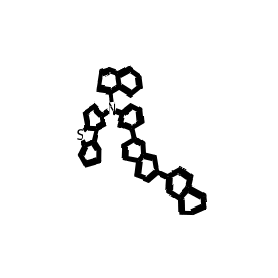 c1cc(-c2ccc3ccc(-c4ccc5ccccc5c4)cc3c2)cc(N(c2ccc3sc4ccccc4c3c2)c2cccc3ccccc23)c1